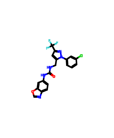 O=C(NCc1cc(C(F)(F)F)nn1-c1cccc(Cl)c1)Nc1ccc2ncoc2c1